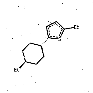 CCc1ccc([C@H]2CC[C@H](CC)CC2)s1